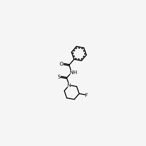 O=C(NC(=S)N1CCCC(F)C1)c1ccccc1